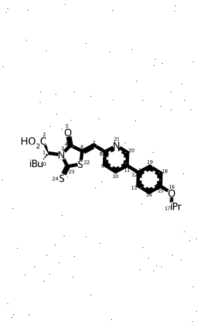 CC[C@@H](C)[C@@H](C(=O)O)N1C(=O)/C(=C/c2ccc(-c3ccc(OC(C)C)cc3)cn2)SC1=S